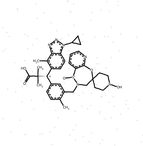 Cc1ccc([C@@H](c2ccc3c(nnn3C3CC3)c2C)C(C)(C)C(=O)O)cc1CN1CC2(CCN(O)CC2)Oc2ncccc2[S+]1[O-]